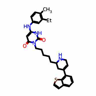 CCc1cc(Nc2cc(=O)n(CCCCCC3CC(c4cccc5ccsc45)=CCN3)c(=O)[nH]2)ccc1C